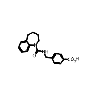 O=C(O)c1ccc(CNC(=O)N2CCCCc3ccccc32)cc1